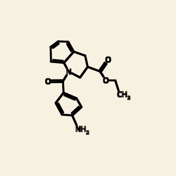 CCOC(=O)C1Cc2ccccc2N(C(=O)c2ccc(N)cc2)C1